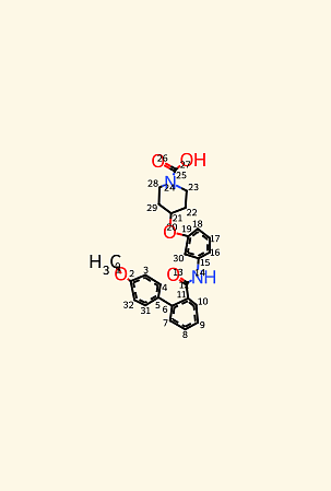 COc1ccc(-c2ccccc2C(=O)Nc2cccc(OC3CCN(C(=O)O)CC3)c2)cc1